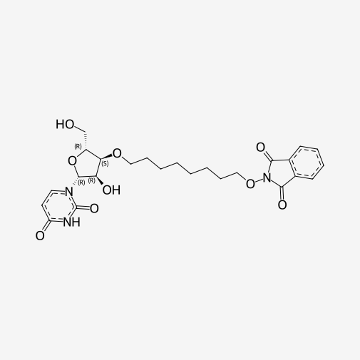 O=C1c2ccccc2C(=O)N1OCCCCCCCCO[C@H]1[C@@H](O)[C@H](n2ccc(=O)[nH]c2=O)O[C@@H]1CO